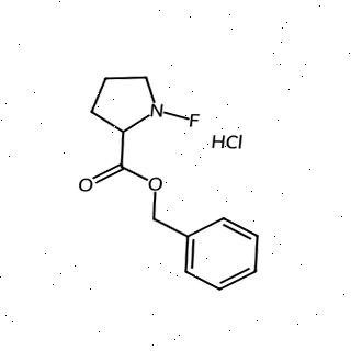 Cl.O=C(OCc1ccccc1)C1CCCN1F